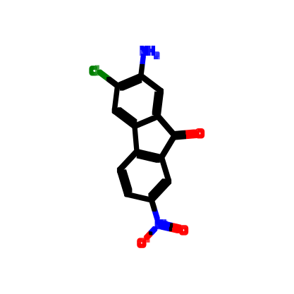 Nc1cc2c(cc1Cl)-c1ccc([N+](=O)[O-])cc1C2=O